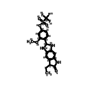 CCC1C(=O)Nc2cc3c(cc21)NC(c1ccc(OS(=O)(=O)C(F)(F)F)cc1OC)N3